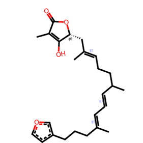 CC1=C(O)[C@@H](C/C(C)=C/CCC(C)/C=C/C=C(\C)CCCc2ccoc2)OC1=O